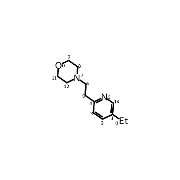 CCc1ccc(CCN2CCOCC2)nc1